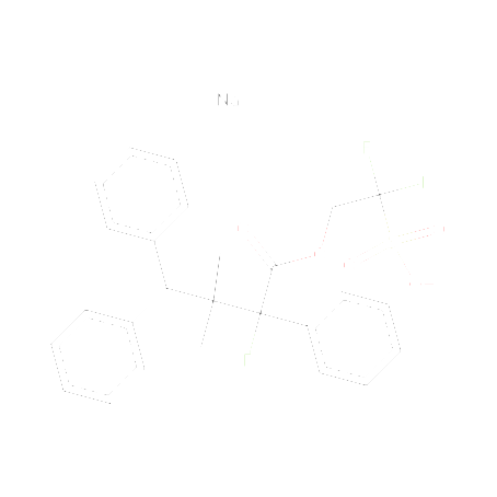 CC(C)(C(c1ccccc1)c1ccccc1)C(F)(C(=O)OCC(F)(F)S(=O)(=O)O)c1ccccc1.[Na]